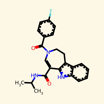 CC(C)NC(=O)C1=CN(C(=O)c2ccc(F)cc2)CCc2c1[nH]c1ccccc21